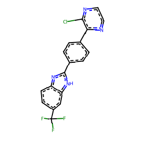 FC(F)(F)c1ccc2nc(-c3ccc(-c4nccnc4Cl)cc3)[nH]c2c1